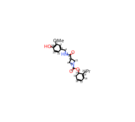 COc1cc(CNC(=O)C2CN(C(=O)OC3CC=CC=C3C(C)C)C2)ccc1O